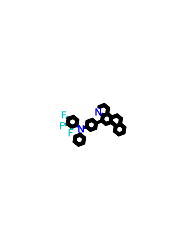 Fc1ccc(N(c2ccccc2)c2ccc(-c3cc4c5ccccc5ccc4c4cccnc34)cc2)c(F)c1F